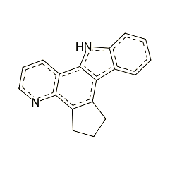 c1ccc2c(c1)[nH]c1c3cccnc3c3c(c21)CCC3